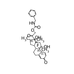 C[C@@H]1CC2C3CCC4=CC(=O)C=C[C@]4(C)[C@@]3(F)[C@@H](O)C[C@]2(C)[C@@]1(O)C(=O)COC(=O)NCc1ccccc1